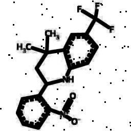 CC1(C)CC(c2ccccc2[N+](=O)[O-])Nc2ccc(C(F)(F)F)cc21